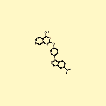 CC(C)c1ccc2c(cnn2-c2ccc(Oc3nc(O)c4ccncc4n3)cc2)c1